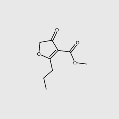 CCCC1=C(C(=O)OC)C(=O)CO1